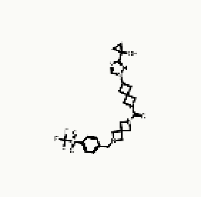 O=C(N1CC2(CC(n3cnc(C4(O)CC4)n3)C2)C1)N1CC2(CN(Cc3ccc(S(=O)(=O)C(F)(F)F)cc3)C2)C1